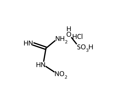 Cl.N=C(N)N[N+](=O)[O-].O=S(=O)(O)O